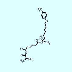 C=C(C)C(=O)OC(CC)CCCCC(=O)OC(C)(C)CCCCCCOc1ccc(C)cc1